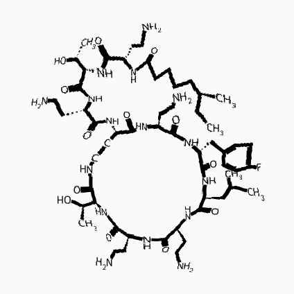 CC[C@H](C)CCCCC(=O)N[C@@H](CCN)C(=O)N[C@H](C(=O)N[C@@H](CCN)C(=O)N[C@H]1CCNC(=O)[C@H]([C@@H](C)O)NC(=O)[C@H](CCN)NC(=O)[C@H](CCN)NC(=O)[C@H](CC(C)C)NC(=O)[C@@H](Cc2ccc(F)cc2)NC(=O)[C@H](CCN)NC1=O)[C@@H](C)O